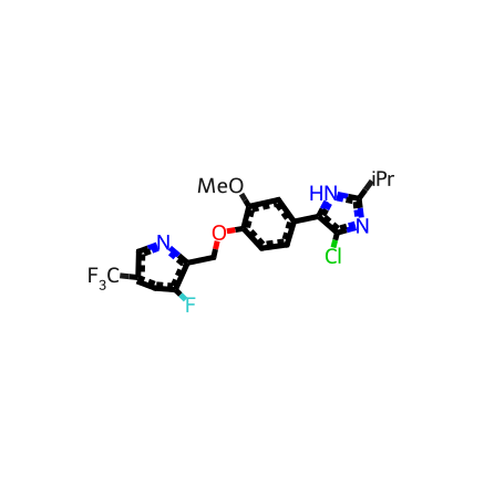 COc1cc(-c2[nH]c(C(C)C)nc2Cl)ccc1OCc1ncc(C(F)(F)F)cc1F